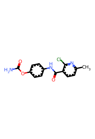 Cc1ccc(C(=O)Nc2ccc(OC(N)=O)cc2)c(Cl)n1